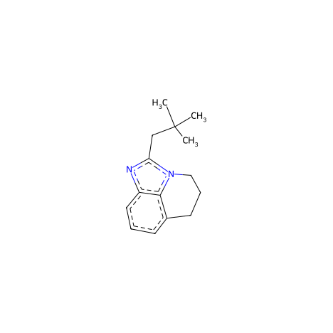 CC(C)(C)Cc1nc2cccc3c2n1CCC3